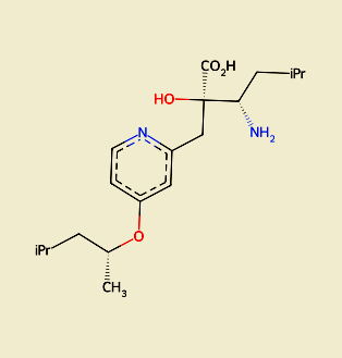 CC(C)C[C@@H](C)Oc1ccnc(C[C@](O)(C(=O)O)[C@@H](N)CC(C)C)c1